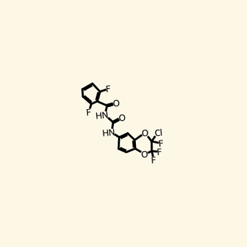 O=C(NC(=O)c1c(F)cccc1F)Nc1ccc2c(c1)OC(F)(Cl)C(F)(F)O2